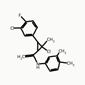 C=C(Nc1ccc(C)c(C)c1)C1C(c2ccc(F)c(Cl)c2)C1(C)Cl